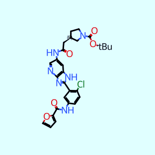 CC(C)(C)OC(=O)N1CC[C@H](CC(=O)Nc2cnc3nc(-c4cc(NC(=O)c5ccco5)ccc4Cl)[nH]c3c2)C1